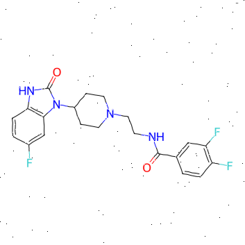 O=C(NCCN1CCC(n2c(=O)[nH]c3ccc(F)cc32)CC1)c1ccc(F)c(F)c1